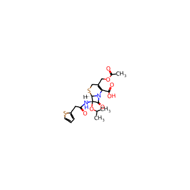 CC(=O)OCC1=C(C(=O)O)N2C(=O)[C@](NC(=O)Cc3cccs3)(OC(C)C)[C@H]2SC1